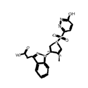 C[C@@H]1CN(S(=O)(=O)c2ccc(O)nn2)C[C@@H]1n1nc(CC(=O)O)c2ccccc21